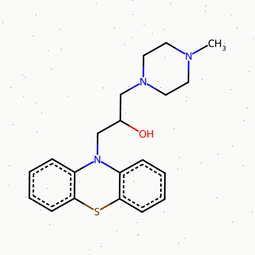 CN1CCN(CC(O)CN2c3ccccc3Sc3ccccc32)CC1